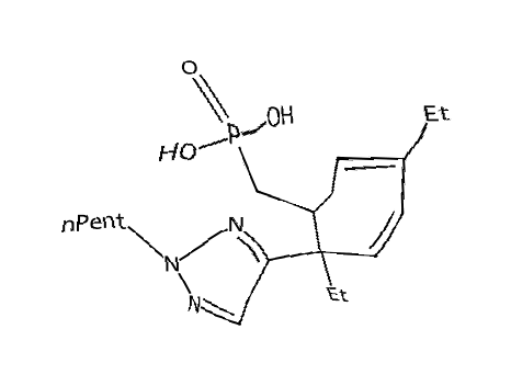 CCCCCn1ncc(C2(CC)C=CC(CC)=CC2CP(=O)(O)O)n1